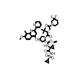 C=C[C@@H]1CC1(NC(=O)[C@@H]1C[C@@H](Oc2cc(-c3ccccn3)nc3c(C)c(OC)ccc23)CN1C(=O)[C@@H](CC(=O)N1CCCC(F)(F)C1)C(C)(C)C)C(=O)NS(=O)(=O)C1CC1